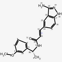 COc1cccc([C@@H](C)NC(=O)/C=C/c2ccc3[nH]nc(N)c3c2)c1